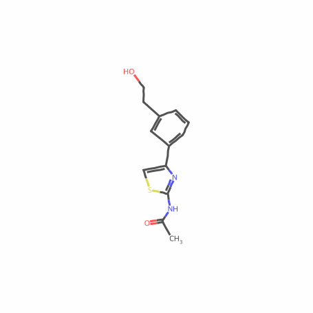 CC(=O)Nc1nc(-c2cccc(CCO)c2)cs1